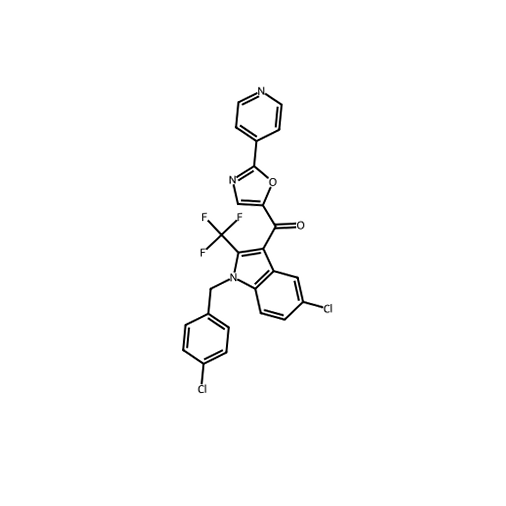 O=C(c1cnc(-c2ccncc2)o1)c1c(C(F)(F)F)n(Cc2ccc(Cl)cc2)c2ccc(Cl)cc12